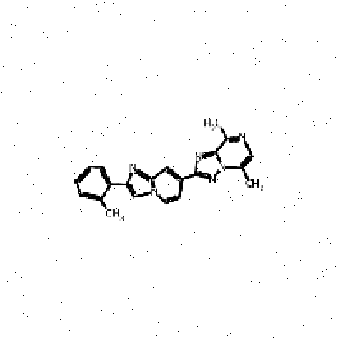 Cc1ccccc1-c1cn2ccc(-c3nc4c(C)ncc(C)n4n3)cc2n1